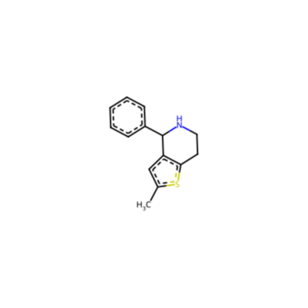 Cc1cc2c(s1)CCNC2c1ccccc1